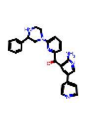 Nc1ncc(-c2ccncc2)cc1C(=O)c1cccc(N2CCNC(c3ccccc3)C2)n1